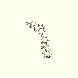 O=C1CCC(Nc2ccc(C3CCN(CC(=O)N4CCNCC4)CC3)cc2)C(=O)N1